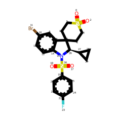 O=S1(=O)CCC2(CC1)c1cc(Br)ccc1N(S(=O)(=O)c1ccc(F)cc1)[C@@H]2C1CC1